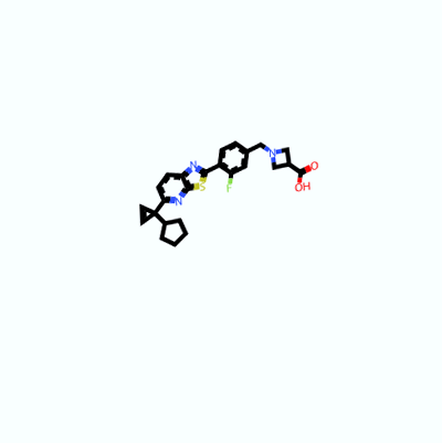 O=C(O)C1CN(Cc2ccc(-c3nc4ccc(C5(C6CCCC6)C=C5)nc4s3)c(F)c2)C1